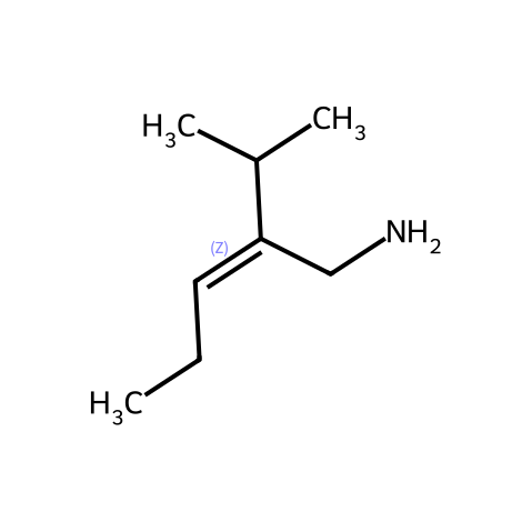 CC/C=C(\CN)C(C)C